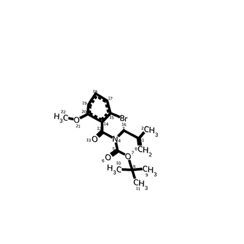 C=C(C)CN(C(=O)OC(C)(C)C)C(=O)c1c(Br)cccc1OC